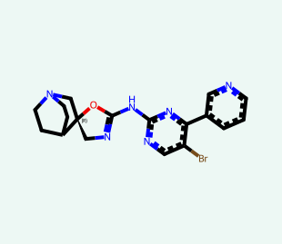 Brc1cnc(NC2=NC[C@@]3(CN4CCC3CC4)O2)nc1-c1cccnc1